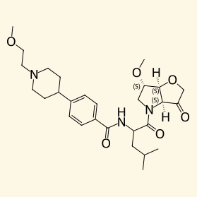 COCCN1CCC(c2ccc(C(=O)NC(CC(C)C)C(=O)N3C[C@H](OC)[C@H]4OCC(=O)[C@H]43)cc2)CC1